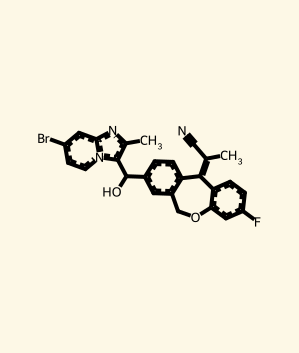 CC(C#N)=C1c2ccc(C(O)c3c(C)nc4cc(Br)ccn34)cc2COc2cc(F)ccc21